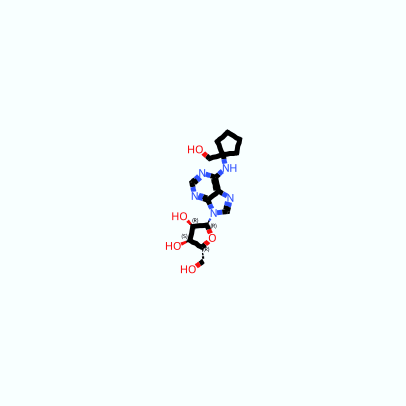 OC[C@H]1O[C@@H](n2cnc3c(NC4(CO)CCCC4)ncnc32)[C@H](O)[C@@H]1O